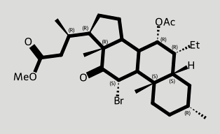 CC[C@H]1[C@@H](OC(C)=O)C2C3CC[C@H]([C@H](C)CC(=O)OC)[C@@]3(C)C(=O)[C@@H](Br)C2[C@@]2(C)CC[C@@H](C)C[C@@H]12